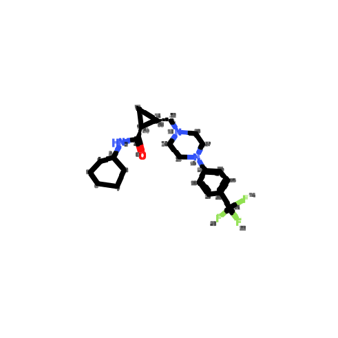 O=C(NC1CCCCC1)[C@H]1C[C@@H]1CN1CCN(c2ccc(C(F)(F)F)cc2)CC1